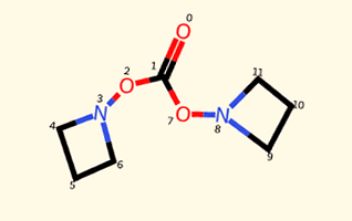 O=C(ON1CCC1)ON1CCC1